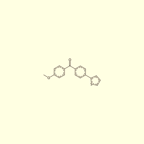 COc1ccc(C(=O)c2ccc(-c3cccs3)cc2)cc1